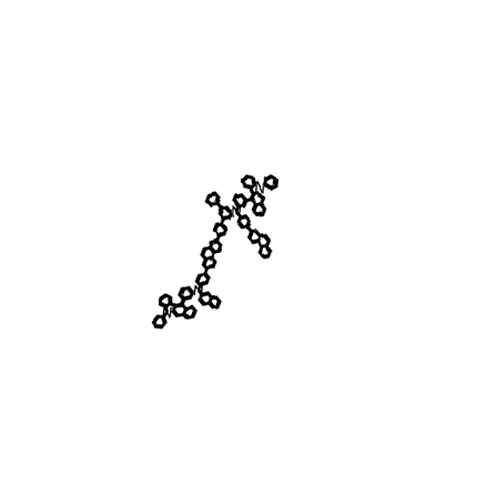 c1ccc(-c2cc(-c3ccc(-c4ccc5c(ccc6cc(-c7ccc(N(c8cccc(-c9c%10ccccc%10cc%10c9c9ccccc9n%10-c9ccccc9)c8)c8ccc9ccccc9c8)cc7)ccc65)c4)cc3)cc(N(c3ccc(-c4ccc5c(ccc6ccccc65)c4)cc3)c3cccc(-c4c5ccccc5cc5c4c4ccccc4n5-c4ccccc4)c3)c2)cc1